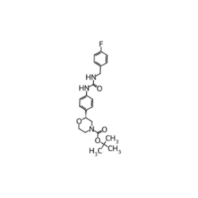 CC(C)(C)OC(=O)N1CCO[C@@H](c2ccc(NC(=O)NCc3ccc(F)cc3)cc2)C1